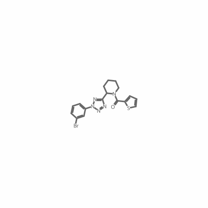 O=C(c1cccs1)N1CCCCC1c1nnn(-c2cccc(Br)c2)n1